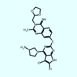 CCc1[nH]c2nc(Sc3cnc4c(=N)n(CC5OCCO5)c(C)nc4c3)nc(N3CC[C@@H](N)C3)c2c1Cl